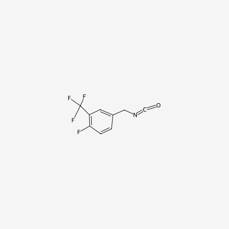 O=C=NCc1ccc(F)c(C(F)(F)F)c1